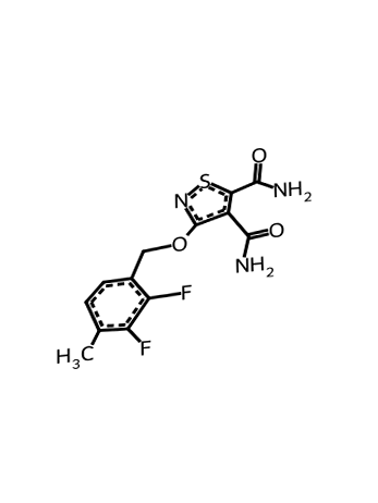 Cc1ccc(COc2nsc(C(N)=O)c2C(N)=O)c(F)c1F